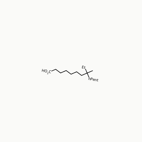 CCCCCC(C)(CC)CCCCCCC(=O)O